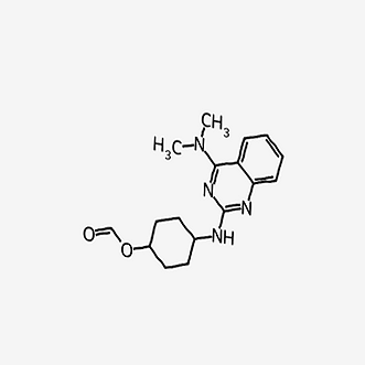 CN(C)c1nc(NC2CCC(OC=O)CC2)nc2ccccc12